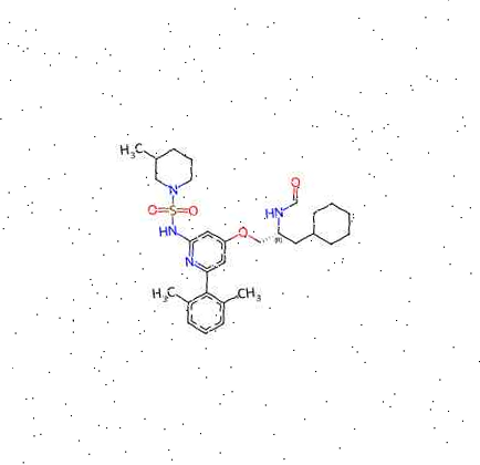 Cc1cccc(C)c1-c1cc(OC[C@@H](CC2CCCCC2)NC=O)cc(NS(=O)(=O)N2CCCC(C)C2)n1